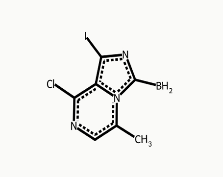 Bc1nc(I)c2c(Cl)ncc(C)n12